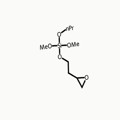 CCCO[Si](OC)(OC)OCCC1CO1